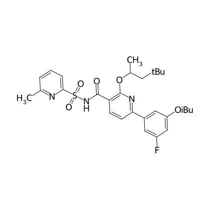 Cc1cccc(S(=O)(=O)NC(=O)c2ccc(-c3cc(F)cc(OCC(C)C)c3)nc2OC(C)CC(C)(C)C)n1